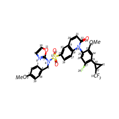 COc1ccc(CN(c2ncco2)S(=O)(=O)c2ccc3c(ccc(=O)n3-c3cc(F)c(C4CC4C(F)(F)F)cc3OC)c2)cc1